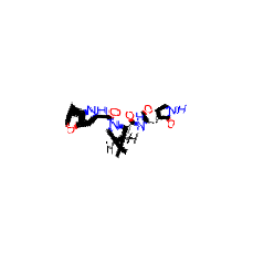 CC1(C)[C@@H]2[C@@H](C(=O)N[C@H](C=O)C[C@@H]3CCNC3=O)N(C(=O)c3cc4occc4[nH]3)C[C@@H]21